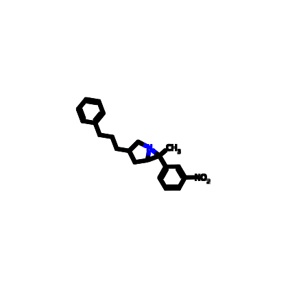 CC1(c2cccc([N+](=O)[O-])c2)C2CC(CCCc3ccccc3)CN21